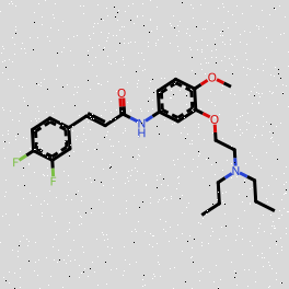 CCCN(CCC)CCOc1cc(NC(=O)C=Cc2ccc(F)c(F)c2)ccc1OC